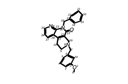 COc1cccc(CN2CCc3c(c(=O)n(Cc4ccccc4)c4ncccc34)C2)c1